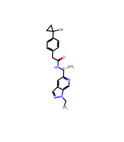 C[C@@H](NC(=O)Cc1ccc(C2(C#N)CC2)cc1)c1cc2cnn(CC(F)(F)F)c2cn1